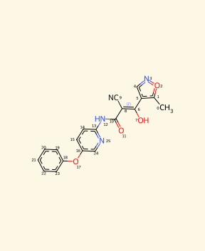 Cc1oncc1/C(O)=C(\C#N)C(=O)Nc1ccc(Oc2ccccc2)cn1